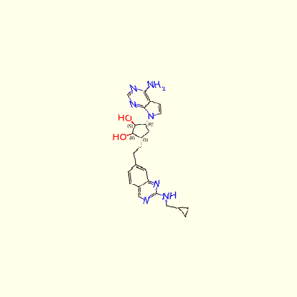 Nc1ncnc2c1ccn2[C@@H]1C[C@H](CCc2ccc3cnc(NCC4CC4)nc3c2)[C@@H](O)[C@H]1O